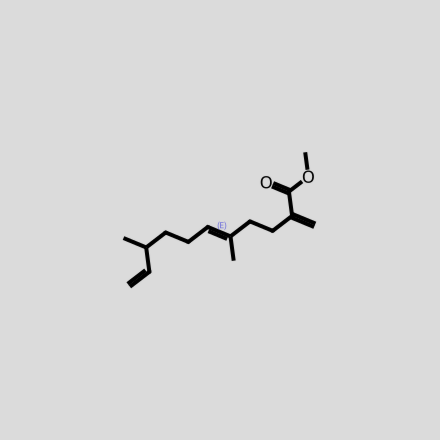 C=CC(C)CC/C=C(\C)CCC(=C)C(=O)OC